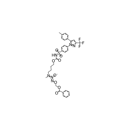 Cc1ccc(-c2cc(C(F)(F)F)nn2-c2ccc(S(=O)(=O)NC(=O)OCCCCN(C)/[N+]([O-])=N/OCOC(=O)c3ccccc3)cc2)cc1